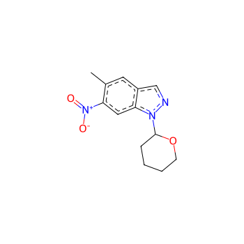 Cc1cc2cnn(C3CCCCO3)c2cc1[N+](=O)[O-]